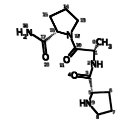 C[C@H](NC(=O)[C@@H]1CCCN1)C(=O)N1CCC[C@H]1C(N)=O